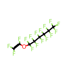 FC(F)=C(F)OC(F)(F)C(F)(F)C(F)(F)C(F)(F)C(F)(F)C(F)(F)F